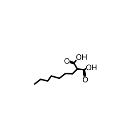 CCCCCCCC(C(=O)O)C(=O)O